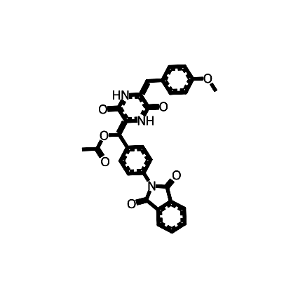 COc1ccc(C=c2[nH]c(=O)c(=C(OC(C)=O)c3ccc(N4C(=O)c5ccccc5C4=O)cc3)[nH]c2=O)cc1